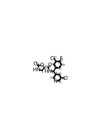 O=C1NC[C@@H](C(=O)NC(c2cncc(Cl)c2)c2ccc(F)c(Cl)c2)O1